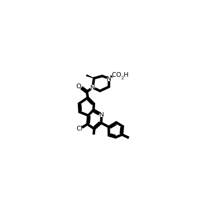 Cc1ccc(-c2nc3cc(C(=O)N4CCN(C(=O)O)C[C@@H]4C)ccc3c(Cl)c2C)cc1